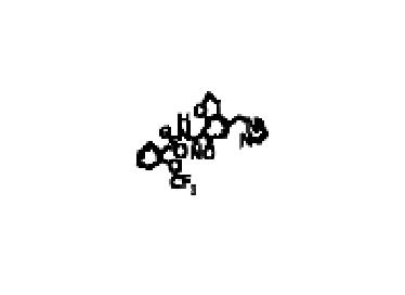 O=S(=O)(Nc1noc2cc(Cn3cccn3)c3c(c12)OCC3)c1ccccc1OC(F)(F)F